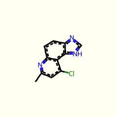 Cc1cc(Cl)c2c(ccc3nc[nH]c32)n1